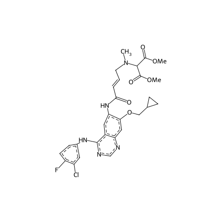 COC(=O)C(C(=O)OC)N(C)CC=CC(=O)Nc1cc2c(Nc3ccc(F)c(Cl)c3)ncnc2cc1OCC1CC1